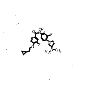 CN(C(=O)c1ccc(OCCC2CC2)c(F)c1)c1ccc(N2CCC(N(C)C)C2)c(F)c1